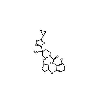 CC(C)N1CCC(Oc2cccc(Cl)c2NC(=O)N2CCC(C)(c3noc(C4CC4)n3)CC2)C1